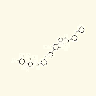 Cc1cc(C)c(-c2cnc(NC(=O)c3cccc(Cn4cc(-c5cc(C)c(-c6cnc(NC(=O)c7cccc(Oc8cccnc8)c7)n6C)cc5C)cn4)c3)n2C(C)C)cc1C